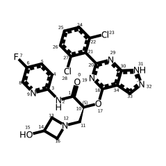 O=C(Nc1ccc(F)cn1)[C@H](CN1CC(O)C1)Oc1nc(-c2c(Cl)cccc2Cl)nc2[nH]ncc12